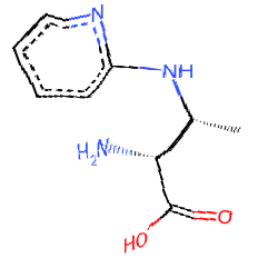 C[C@@H](Nc1ccccn1)[C@@H](N)C(=O)O